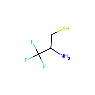 NC(CS)C(F)(F)F